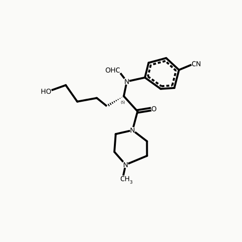 CN1CCN(C(=O)[C@H](CCCCO)N(C=O)c2ccc(C#N)cc2)CC1